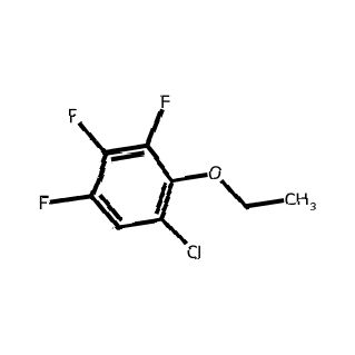 CCOc1c(Cl)[c]c(F)c(F)c1F